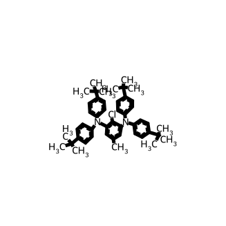 Cc1cc(N(c2ccc(C(C)(C)C)cc2)c2ccc(C(C)(C)C)cc2)c(Cl)c(N(c2ccc(C(C)(C)C)cc2)c2ccc(C(C)(C)C)cc2)c1